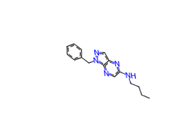 CCCCNc1cnc2c(cnn2Cc2ccccc2)n1